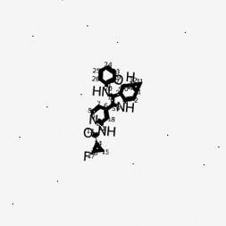 C[C@]12C=C3NC(c4ccnc(NC(=O)[C@@H]5C[C@@H]5F)c4)C(Nc4ccccc4)C3C(=O)[C@H]1C2